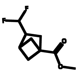 COC(=O)C12CC(C1)C(C(F)F)C2